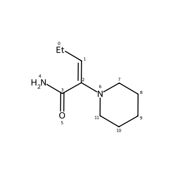 CC/C=C(\C(N)=O)N1CCCCC1